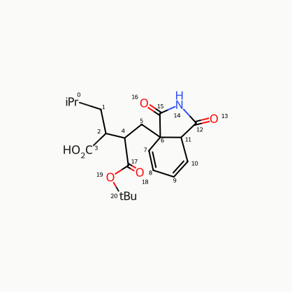 CC(C)CC(C(=O)O)C(CC12C=CC=CC1C(=O)NC2=O)C(=O)OC(C)(C)C